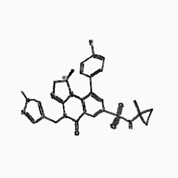 C[C@@H]1CN=C2N(Cc3cnn(C)c3)C(=O)c3cc(S(=O)(=O)NC4(C)CC4)cc(-c4ccc(F)cc4)c3N21